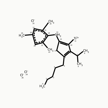 CCCCCC1=C(C(C)C)[C]([Ti+3])=C([SiH2]c2c(C)cc(C)cc2C)C1.[Cl-].[Cl-].[Cl-]